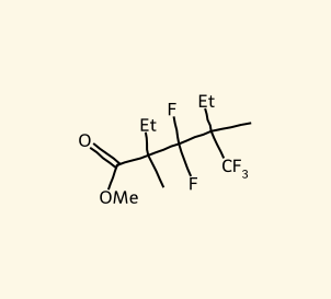 CCC(C)(C(=O)OC)C(F)(F)C(C)(CC)C(F)(F)F